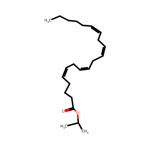 CCCCC/C=C\C/C=C\C/C=C\C/C=C\CCCC(=O)OC(C)C